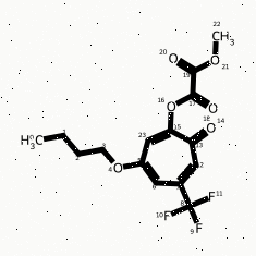 CCCCOc1cc(C(F)(F)F)cc(=O)c(OC(=O)C(=O)OC)c1